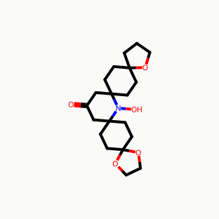 O=C1CC2(CCC3(CCCO3)CC2)N(O)C2(CCC3(CC2)OCCO3)C1